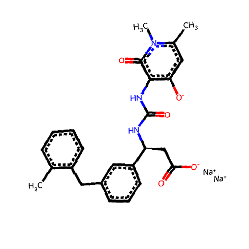 Cc1ccccc1Cc1cccc([C@H](CC(=O)[O-])NC(=O)Nc2c([O-])cc(C)n(C)c2=O)c1.[Na+].[Na+]